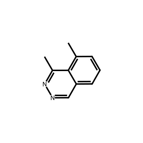 Cc1cccc2cnnc(C)c12